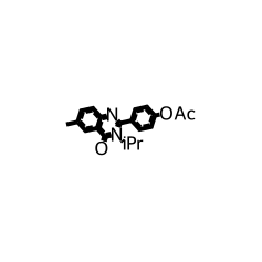 CC(=O)Oc1ccc(-c2nc3ccc(C)cc3c(=O)n2C(C)C)cc1